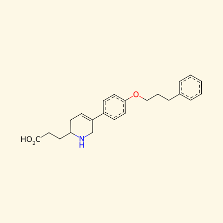 O=C(O)CCC1CC=C(c2ccc(OCCCc3ccccc3)cc2)CN1